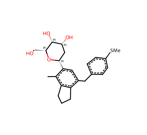 CSc1ccc(Cc2cc([C@H]3C[C@@H](O)[C@@H](O)[C@@H](CO)O3)c(C)c3c2CCC3)cc1